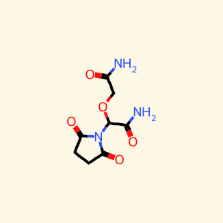 NC(=O)COC(C(N)=O)N1C(=O)CCC1=O